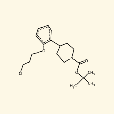 CC(C)(C)OC(=O)N1CCC(c2ccccc2OCCCCl)CC1